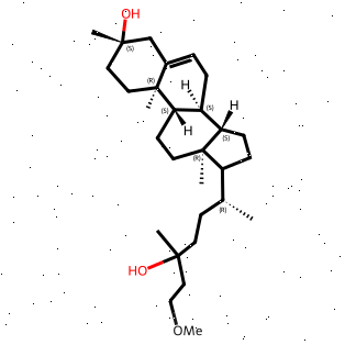 COCCC(C)(O)CC[C@@H](C)C1CC[C@H]2[C@@H]3CC=C4C[C@@](C)(O)CC[C@]4(C)[C@H]3CC[C@]12C